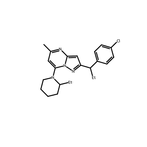 [CH2][CH]C1CCCCN1c1cc(C)nc2cc(C(CC)c3ccc(Cl)cc3)nn12